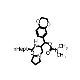 CCCCCCCC(=O)NC(CN1CCCC1)C(OC(=O)N(C)C)c1ccc2c(c1)OCCO2